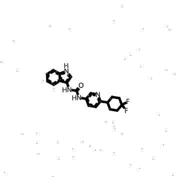 O=C(Nc1ccc(C2CCC(F)(F)CC2)nc1)Nc1c[nH]c2ccccc12